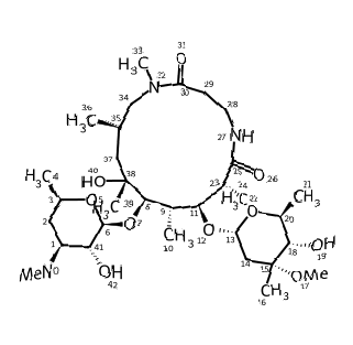 CN[C@H]1C[C@@H](C)O[C@@H](O[C@@H]2[C@@H](C)[C@H](O[C@H]3C[C@@](C)(OC)[C@@H](O)[C@H](C)O3)[C@@H](C)C(=O)NCCC(=O)N(C)C[C@H](C)C[C@@]2(C)O)[C@@H]1O